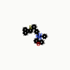 c1ccc(-c2nc(-c3ccc(-c4cccc5sc6c7c(ccc6c45)-c4cccc5cccc-7c45)cc3)nc(-c3cccc4oc5ccccc5c34)n2)cc1